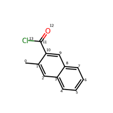 Cc1cc2ccccc2cc1C(=O)Cl